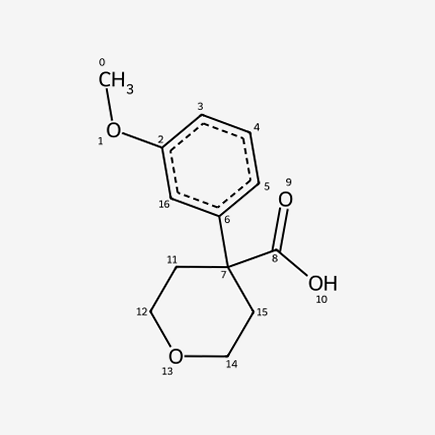 COc1cccc(C2(C(=O)O)CCOCC2)c1